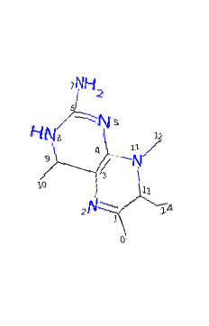 CC1=NC2=C(N=C(N)NC2C)N(C)C1C